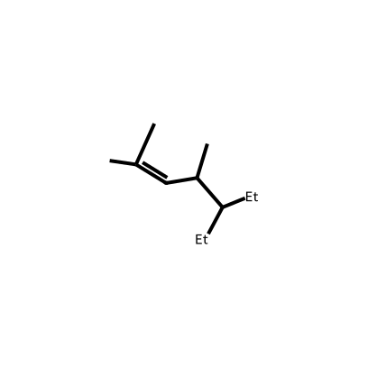 CCC(CC)C(C)C=C(C)C